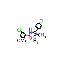 COc1ccc(Cl)cc1C(=O)NC1C(c2ccc(Cl)cc2)C1(C)C